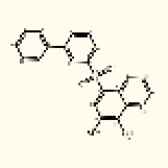 O=S(=O)(c1cccc(-c2ccccc2)c1)c1cc(Cl)c(O)c2ncccc12